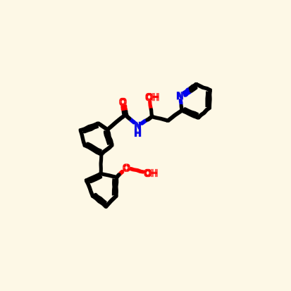 O=C(NC(O)Cc1ccccn1)c1cccc(-c2ccccc2OO)c1